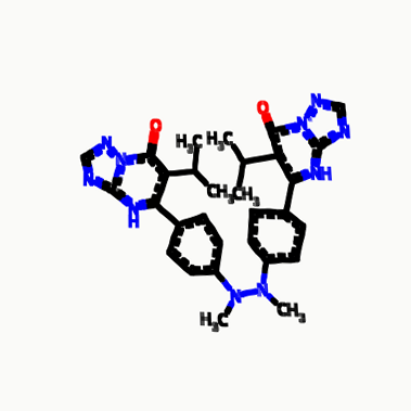 CC(C)c1c(-c2ccc(N(C)N(C)c3ccc(-c4[nH]c5ncnn5c(=O)c4C(C)C)cc3)cc2)[nH]c2ncnn2c1=O